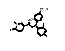 Cc1cc(Cl)ccc1C(C/C(=N\O)c1ccc(=O)n(C)c1)c1ccc(C(=O)O)cc1